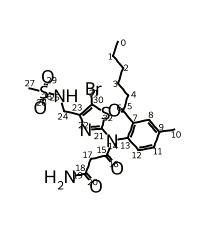 CCCCCC(=O)c1cc(C)ccc1N(C(=O)CC(N)=O)c1nc(CNS(C)(=O)=O)c(Br)s1